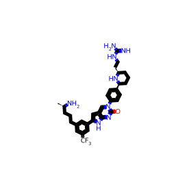 C[C@H](N)CCCc1cc(-c2cc3cn(-c4ccc([C@@H]5CCC[C@@H](CCNC(=N)N)N5)cc4)c(=O)nc3[nH]2)cc(C(F)(F)F)c1